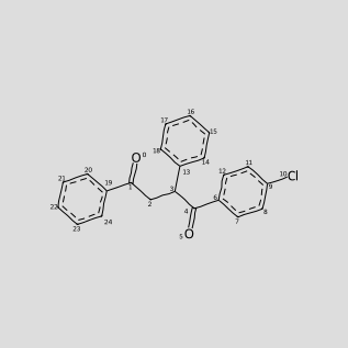 O=C(CC(C(=O)c1ccc(Cl)cc1)c1ccccc1)c1ccccc1